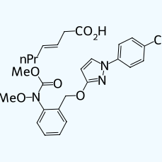 CCC/C=C/CC(=O)O.COC(=O)N(OC)c1ccccc1COc1ccn(-c2ccc(Cl)cc2)n1